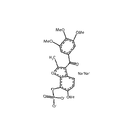 COc1cc(C(=O)c2c(C)oc3c(OP(=O)([O-])[O-])c(OC)ccc23)cc(OC)c1OC.[Na+].[Na+]